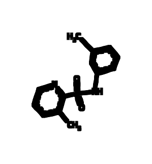 Cc1cccc(NS(=O)(=O)c2ncccc2C)c1